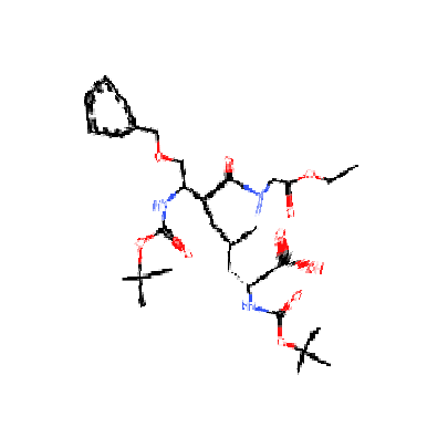 CCOC(=O)CNC(=O)C(CC(C)C[C@@H](NC(=O)OC(C)(C)C)C(=O)O)C(COCc1ccccc1)NC(=O)OC(C)(C)C